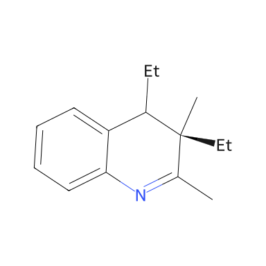 CCC1c2ccccc2N=C(C)[C@]1(C)CC